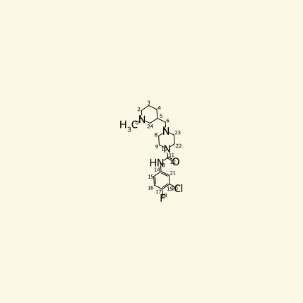 CN1CCCC(CN2CCN(C(=O)Nc3ccc(F)c(Cl)c3)CC2)C1